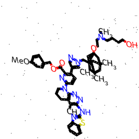 COc1ccc(COC(=O)c2nc(N3CCCc4c3nnc(Nc3nc5ccccc5s3)c4C)ccc2-c2cnn(CC34CC5(C)CC(C)(C3)CC(OCCN(C)CCCCO)(C5)C4)c2C)cc1